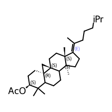 CC(=O)O[C@H]1CC[C@]23C[C@]24CC[C@]2(C)/C(=C(\C)CCCC(C)C)CC[C@@]2(C)C4CCC3C1(C)C